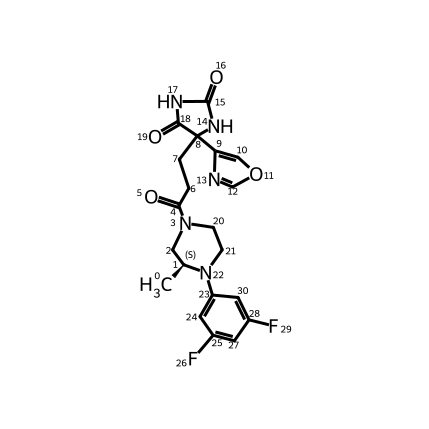 C[C@H]1CN(C(=O)CCC2(c3cocn3)NC(=O)NC2=O)CCN1c1cc(F)cc(F)c1